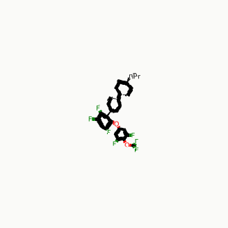 CCC[C@H]1CC[C@H]([C@H]2CC[C@H](c3c(F)c(F)[c]c(F)c3Oc3cc(F)c(OC(F)F)c(F)c3)CC2)CC1